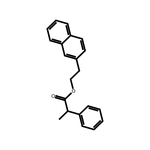 CC(C(=O)OCCc1ccc2ccccc2c1)c1ccccc1